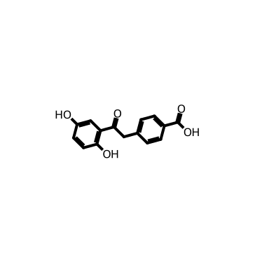 O=C(O)c1ccc(CC(=O)c2cc(O)ccc2O)cc1